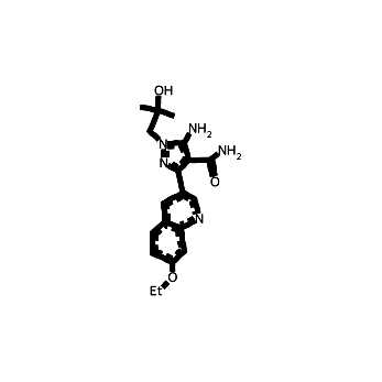 CCOc1ccc2cc(-c3nn(CC(C)(C)O)c(N)c3C(N)=O)cnc2c1